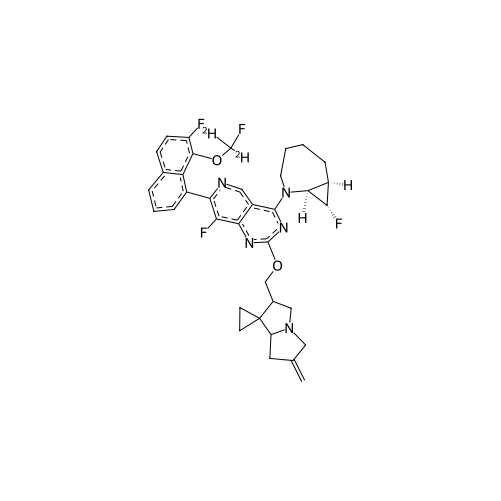 [2H]C([2H])(F)Oc1c(F)ccc2cccc(-c3ncc4c(N5CCCC[C@H]6[C@H](F)[C@H]65)nc(OCC5CN6CC(=C)CC6C56CC6)nc4c3F)c12